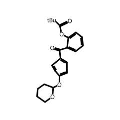 CC(C)(C)C(=O)Oc1ccccc1C(=O)c1ccc(OC2CCCCO2)cc1